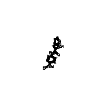 CCNc1ccc(NC(=O)c2cc3scnc3[nH]2)cc1